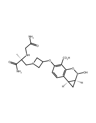 C[C@@](CN1CC(Oc2ccc3c(c2C(=O)O)OB(O)[C@H]2C[C@@H]32)C1)(NCC(N)=O)C(N)=O